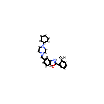 O=[N+]([O-])c1ccccc1-c1nc2cc(CN3CCN(C4CCCCC4)CC3)ccc2o1